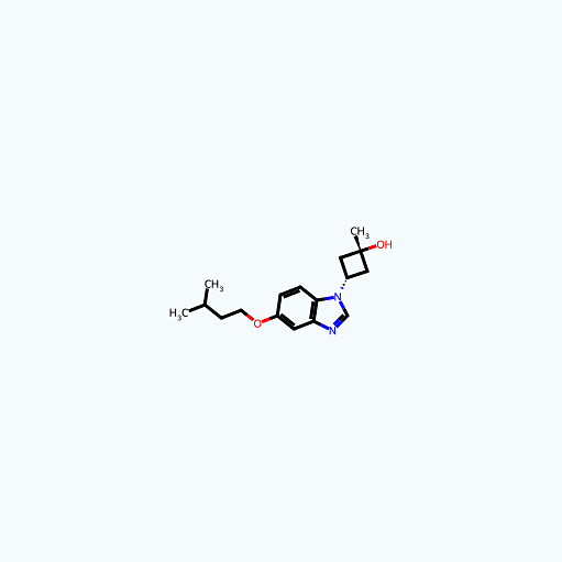 CC(C)CCOc1ccc2c(c1)ncn2[C@H]1C[C@@](C)(O)C1